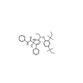 CCC(Oc1ccc(C(C)(C)CC)cc1C(C)(C)CC)C(=O)NC(OC)(C(=O)Nc1ccccc1)C(=O)c1ccccc1